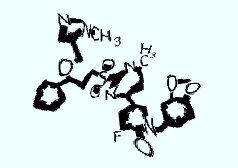 Cc1cc(-c2cc(F)c(=O)n(Cc3ccc4c(c3)OCO4)c2)nc(S(=O)(=O)CCC(OCc2cncn2C)c2ccccc2)n1